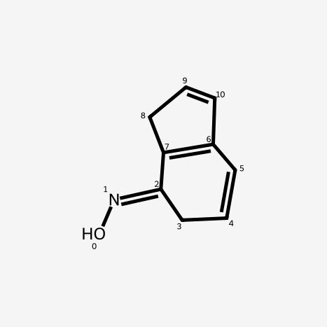 ON=C1CC=CC2=C1CC=C2